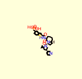 O=C(N[C@H]1CCCC[C@H]2CC[C@@H](C(=O)N3C[C@@H](c4cccnc4)CC34CC4)N2C1=O)c1cc2cc(CP(=O)(O)O)ccc2s1